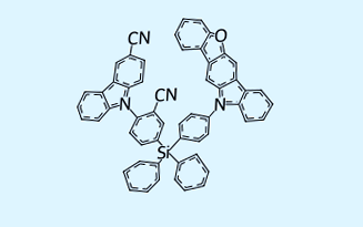 N#Cc1ccc2c(c1)c1ccccc1n2-c1ccc([Si](c2ccccc2)(c2ccccc2)c2ccc(-n3c4ccccc4c4cc5oc6ccccc6c5cc43)cc2)cc1C#N